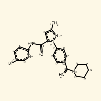 Cc1cc(C(=O)Nc2ccc(Br)cn2)n(-c2ccc(C(=N)N3CCCCC3)cc2)n1